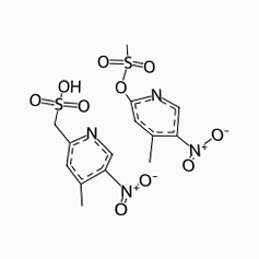 Cc1cc(CS(=O)(=O)O)ncc1[N+](=O)[O-].Cc1cc(OS(C)(=O)=O)ncc1[N+](=O)[O-]